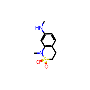 CNc1ccc2c(c1)N(C)S(=O)(=O)CC2